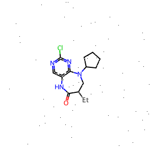 CCC1CN(C2CCCC2)c2nc(Cl)ncc2NC1=O